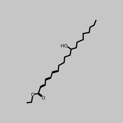 CCCCCCCCC(O)CCCCC=CC=CC=CC(=O)OCC